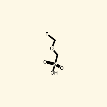 O=S(=O)(O)COCF